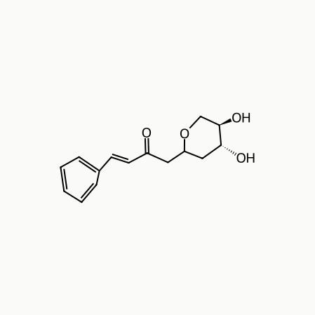 O=C(/C=C/c1ccccc1)CC1C[C@@H](O)[C@H](O)CO1